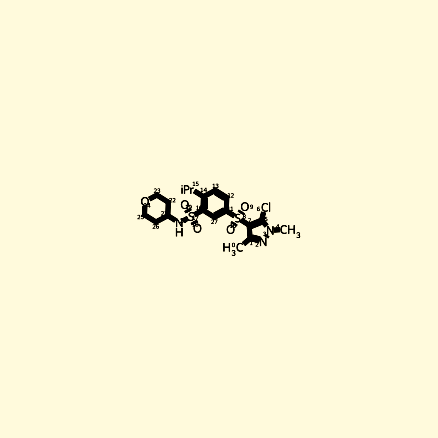 Cc1nn(C)c(Cl)c1S(=O)(=O)c1ccc(C(C)C)c(S(=O)(=O)NC2CCOCC2)c1